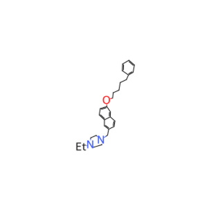 CCN1CCN(Cc2ccc3cc(OCCCCCc4ccccc4)ccc3c2)CC1